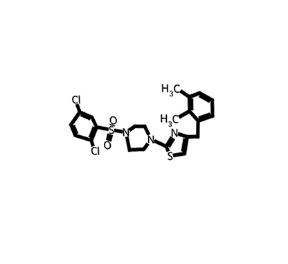 Cc1cccc(Cc2csc(N3CCN(S(=O)(=O)c4cc(Cl)ccc4Cl)CC3)n2)c1C